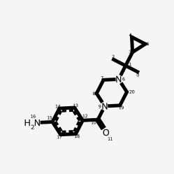 CC(C)(C1CC1)N1CCN(C(=O)c2ccc(N)cc2)CC1